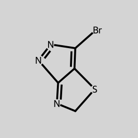 BrC1=C2SCN=C2N=N1